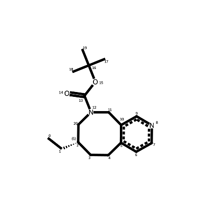 CC[C@H]1CCc2ccncc2CN(C(=O)OC(C)(C)C)C1